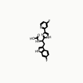 O=C(O)NC(Cc1c[nH]c2cc(F)ccc12)c1nc(-c2cc(F)ccn2)c[nH]1